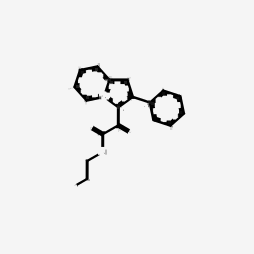 O=C(NCCO)C(=O)c1c(-c2ccccc2)cc2ccccn12